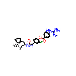 C=NC(=N)Nc1ccc(C(=O)Oc2ccc(CC(=O)N[C@@H](Cc3ccccc3)C(=O)O)cc2F)cc1